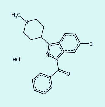 CN1CCC(c2nn(C(=O)c3ccccc3)c3cc(Cl)ccc23)CC1.Cl